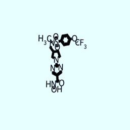 CN(CC1CCN(c2ncc(C(=O)NO)cn2)C1)S(=O)(=O)c1ccc(OC(F)(F)F)cc1